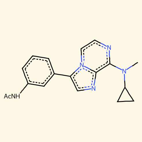 CC(=O)Nc1cccc(-c2cnc3c(N(C)C4CC4)nccn23)c1